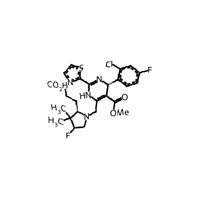 COC(=O)C1=C(CN2CC(F)C(C)(C)[C@H]2CCC(=O)O)NC(c2nccs2)=N[C@H]1c1ccc(F)cc1Cl